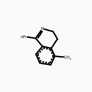 CCCC1=NCCc2c(C)cccc21